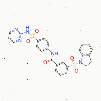 O=C(Nc1ccc(S(=O)(=O)Nc2ncccn2)cc1)c1cccc(S(=O)(=O)N2CCc3ccccc32)c1